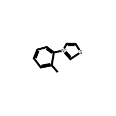 Cc1ccccc1-[n+]1ccsc1